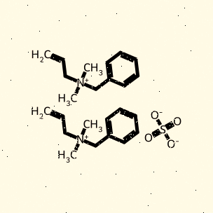 C=CC[N+](C)(C)Cc1ccccc1.C=CC[N+](C)(C)Cc1ccccc1.O=S(=O)([O-])[O-]